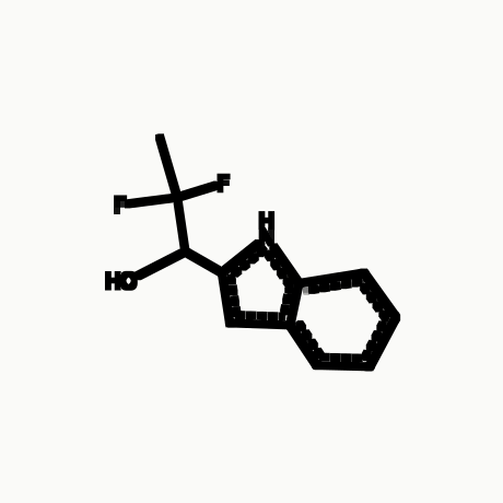 CC(F)(F)C(O)c1cc2ccccc2[nH]1